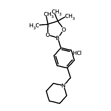 CC1(C)OB(c2ccc(CN3CCCCC3)cc2)OC1(C)C.Cl